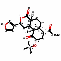 COC(=O)[C@@H]1C[C@H](O[Si](C)(C)C)C(=O)[C@H]2[C@@]1(C)CC[C@H]1C(=O)O[C@H](c3ccoc3)C[C@]21C